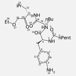 CCCCCC(=O)N[C@@H](Cc1ccc(N)cc1)C(=O)N[C@@H](CCCC)C(=O)N[C@@H](CC(C)C)C(=O)COCC